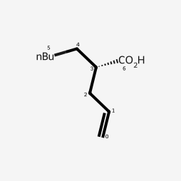 C=CC[C@H](CCCCC)C(=O)O